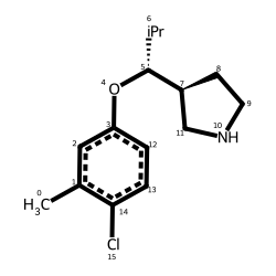 Cc1cc(O[C@H](C(C)C)[C@H]2CCNC2)ccc1Cl